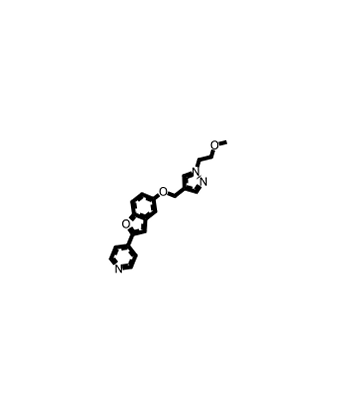 COCCn1cc(COc2ccc3oc(-c4ccncc4)cc3c2)cn1